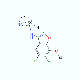 CCOc1c(Cl)c(F)cc2c(N[C@H]3CN4CCC3CC4)noc12